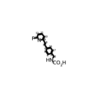 O=C(O)NCc1ccc(/C=C/c2cccc(F)n2)cc1